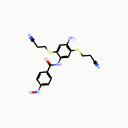 N#CCCSc1cc(NC(=O)c2ccc(N=O)cc2)c(SCCC#N)cc1N